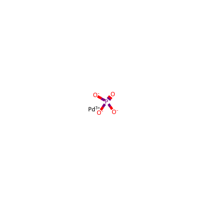 O=P([O-])([O-])[O-].[Pd+3]